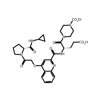 CCOC(=O)N1CCN(C(=O)[C@H](CCC(=O)O)NC(=O)c2cc(OCC(=O)N3CCC[C@@H]3C(=O)NC3CC3)c3ccccc3n2)CC1